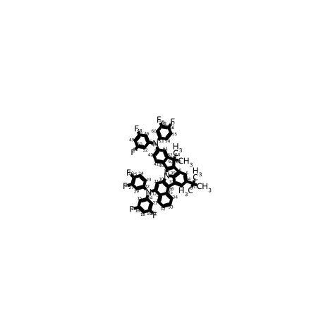 CC(C)(C)c1cc2c3c(n4c5cc(N(c6cc(F)cc(F)c6)c6ccc(F)c(F)c6)c6ccccc6c5c(c1)c24)-c1ccc(N(c2cc(F)cc(F)c2)c2ccc(F)c(F)c2)cc1C3(C)C